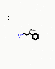 CNC(CCN)c1ccccc1